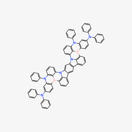 c1ccc(N(c2ccccc2)c2ccc3c(c2)N(c2ccccc2)c2cccc4c2B3c2cccc3c5cc6c7cccc8c7n(c6cc5n-4c23)-c2cccc3c2B8c2ccc(N(c4ccccc4)c4ccccc4)cc2N3c2ccccc2)cc1